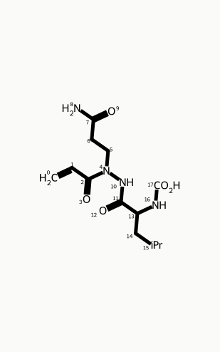 C=CC(=O)N(CCC(N)=O)NC(=O)C(CC(C)C)NC(=O)O